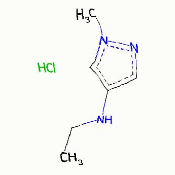 CCNc1cnn(C)c1.Cl